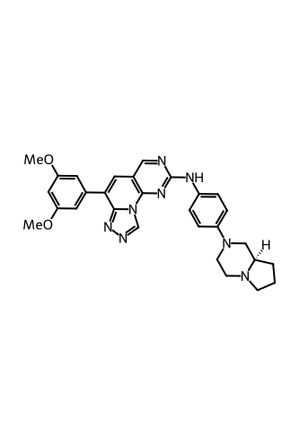 COc1cc(OC)cc(-c2cc3cnc(Nc4ccc(N5CCN6CCC[C@@H]6C5)cc4)nc3n3cnnc23)c1